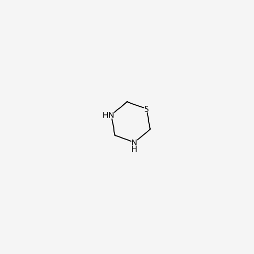 C1NCSCN1